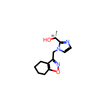 C[C@@H](O)c1nccn1Cc1noc2c1CCCC2